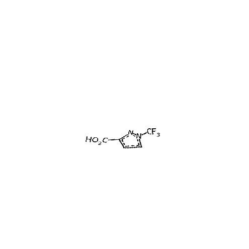 O=C(O)c1ccn(C(F)(F)F)n1